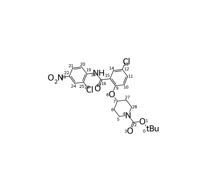 CC(C)(C)OC(=O)N1CCC(Oc2ccc(Cl)cc2C(=O)Nc2ccc([N+](=O)[O-])cc2Cl)CC1